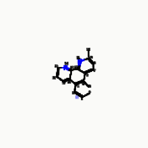 C/C=C\c1c(C)c2ccc(C)nc2c2ncccc12